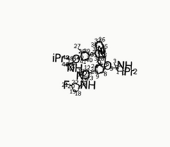 CC(C)CC(C)(N)COc1ccc(-c2ccnc(NC3CCC(F)C3)c2)cc1Cl.Cc1cc(-c2cnn3ccccc23)ccc1OCC(C)(N)CC(C)C